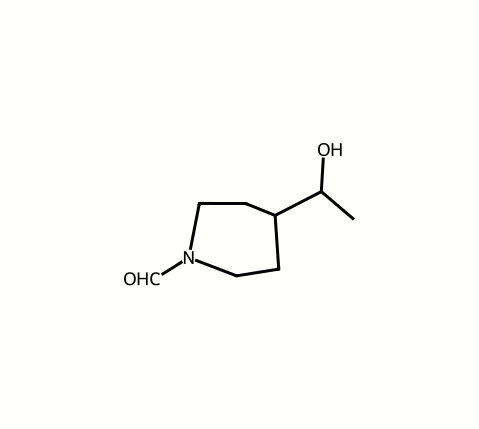 CC(O)C1CCN(C=O)CC1